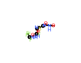 COCCNCCC(=O)N1CC=C(C2Cc3nccc(Oc4ccc(NC(=O)Nc5cc(C(F)(F)F)ccc5F)cc4F)c3S2)CC1